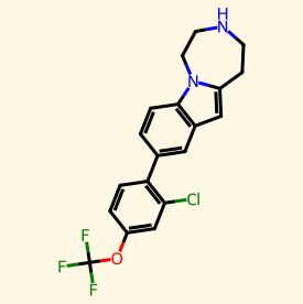 FC(F)(F)Oc1ccc(-c2ccc3c(c2)cc2n3CCNCC2)c(Cl)c1